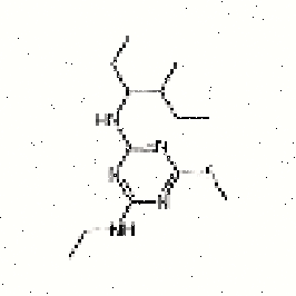 CCNc1nc(NC(CC)C(C)CC)nc(SC)n1